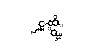 CS(=O)(=O)c1ccc(O[C@H]2c3cc(Cl)cc(Cl)c3C[C@@H]2N2CCC[C@@H](NCCF)C2)cc1